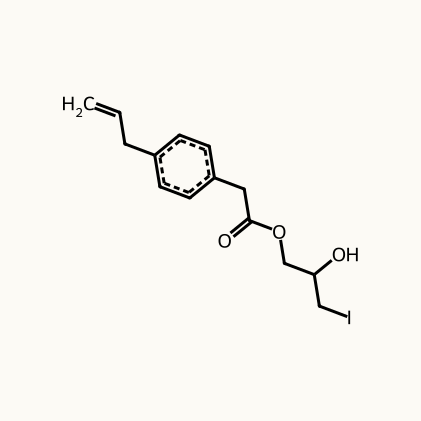 C=CCc1ccc(CC(=O)OCC(O)CI)cc1